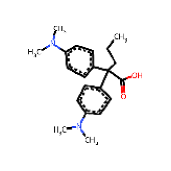 CCCC(C(=O)O)(c1ccc(N(C)C)cc1)c1ccc(N(C)C)cc1